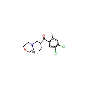 Cc1cc(Cl)c(Cl)cc1C(=O)C(CN1CCOCC1)CS(=O)(=O)O